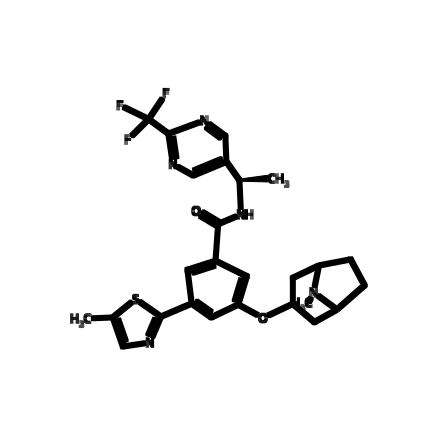 Cc1cnc(-c2cc(OC3CC4CCC(C3)N4C)cc(C(=O)N[C@H](C)c3cnc(C(F)(F)F)nc3)c2)s1